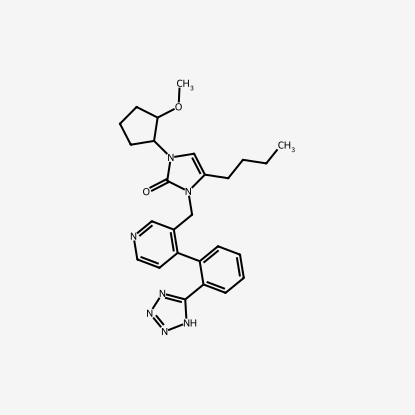 CCCCc1cn(C2CCCC2OC)c(=O)n1Cc1cnccc1-c1ccccc1-c1nnn[nH]1